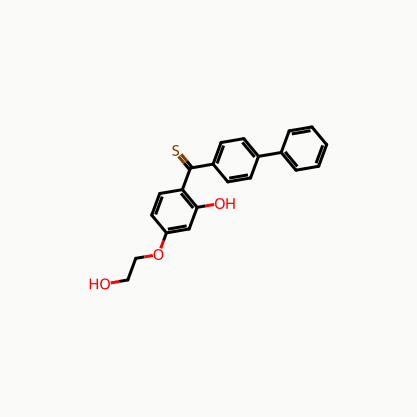 OCCOc1ccc(C(=S)c2ccc(-c3ccccc3)cc2)c(O)c1